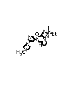 CCNc1ncc2c(n1)N1CCC[C@H]1CN(c1cncc(N3CCN(C)CC3)c1)C2=O